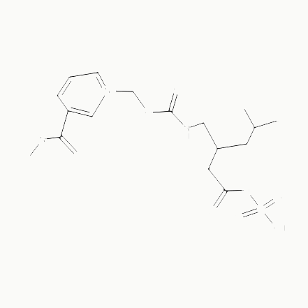 CNC(=O)c1ccc[n+](COC(=O)NCC(CC(=O)OS(C)(=O)=O)CC(C)C)c1